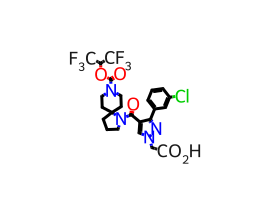 O=C(O)Cn1cc(C(=O)N2CCCC23CCN(C(=O)OC(C(F)(F)F)C(F)(F)F)CC3)c(-c2cccc(Cl)c2)n1